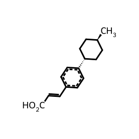 C[C@H]1CC[C@H](c2ccc(/C=C/C(=O)O)cc2)CC1